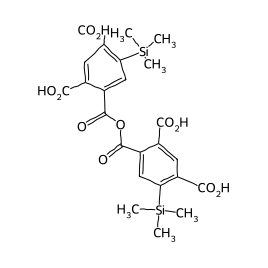 C[Si](C)(C)c1cc(C(=O)OC(=O)c2cc([Si](C)(C)C)c(C(=O)O)cc2C(=O)O)c(C(=O)O)cc1C(=O)O